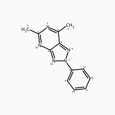 Cc1nc(C)c2nn(-c3ccccc3)nc2n1